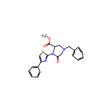 COC(=O)C1CN(Cc2ccccc2)CC(=O)N1c1nc(-c2ccccc2)cs1